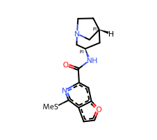 CSc1nc(C(=O)N[C@@H]2C[C@H]3CCN(C3)C2)cc2occc12